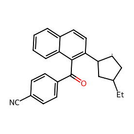 [CH2]CC1C[CH]C(c2ccc3ccccc3c2C(=O)c2ccc(C#N)cc2)C1